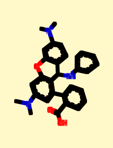 CN(C)c1ccc2c(c1)Oc1cc(N(C)C)cc(-c3ccccc3C(=O)O)c1C2Nc1ccccc1